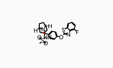 CS(=O)(=O)NC1C[C@H]2CC[C@@H](C1)N2Cc1ccc(Oc2nc3c(F)cccc3s2)cc1